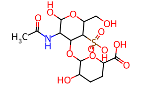 CC(=O)NC1C(O)OC(CO)C(S(=O)(=O)O)C1OC1OC(C(=O)O)CCC1O